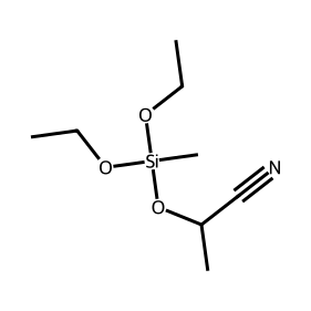 CCO[Si](C)(OCC)OC(C)C#N